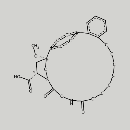 CO[C@@]12C[C@@H](C(=O)O)N(C1)C(=O)CNC(=O)OCCCCCCc1ccccc1-c1ccc2cc1